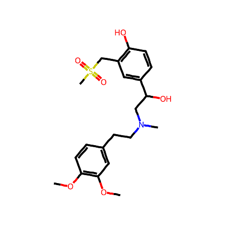 COc1ccc(CCN(C)CC(O)c2ccc(O)c(CS(C)(=O)=O)c2)cc1OC